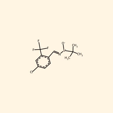 CC(C)(C)[S+]([O-])N=Cc1ccc(Cl)cc1C(F)(F)F